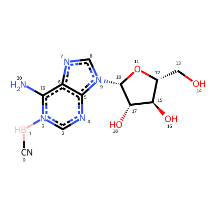 N#CB[n+]1cnc2c(ncn2[C@@H]2O[C@H](CO)[C@@H](O)[C@@H]2O)c1N